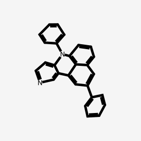 c1ccc(-c2cc3c4c(cccc4c2)N(c2ccccc2)c2ccncc2-3)cc1